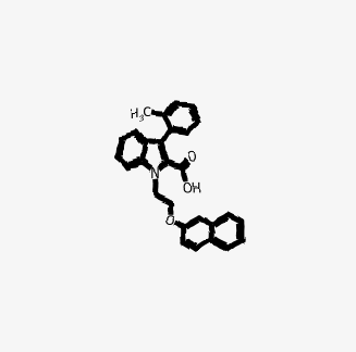 Cc1ccccc1-c1c(C(=O)O)n(CCOc2ccc3ccccc3c2)c2ccccc12